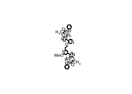 CCn1c(SC(C)(C)C(=O)Nc2ccccc2)nnc1-c1cc(CCOc2cnccc2-c2nnc(SC(C)(C)C(=O)Nc3ccccc3)n2CC)nc(OC)c1